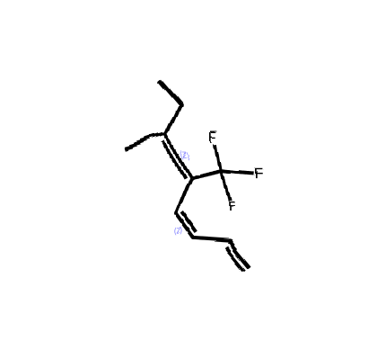 C=C/C=C\C(=C(/C)CC)C(F)(F)F